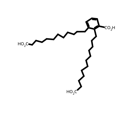 O=C(O)CCCCCCCCCCCc1cccc(C(=O)O)c1CCCCCCCCCCCC(=O)O